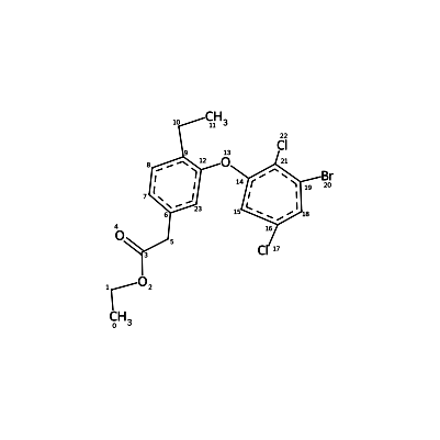 CCOC(=O)Cc1ccc(CC)c(Oc2cc(Cl)cc(Br)c2Cl)c1